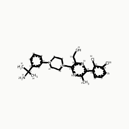 Cc1nc(N2CCN(c3cccc(C(C)(C)N)c3)CC2)c(CO)nc1-c1cccc(Cl)c1Cl